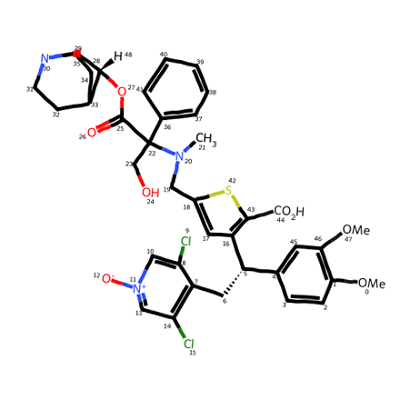 COc1ccc([C@H](Cc2c(Cl)c[n+]([O-])cc2Cl)c2cc(CN(C)C(CO)(C(=O)O[C@H]3CN4CCC3CC4)c3ccccc3)sc2C(=O)O)cc1OC